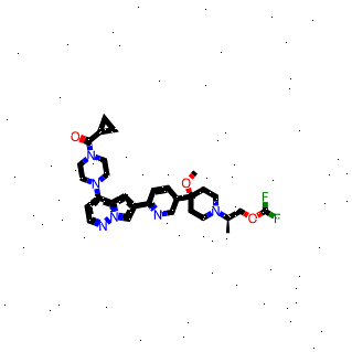 COC1(C2C=CC(c3cc4c(N5CCN(C(=O)C6CC6)CC5)ccnn4c3)=NC2)CCN([C@H](C)COC(F)F)CC1